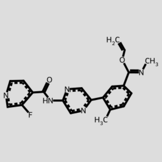 C=CO/C(=N\C)c1ccc(C)c(-c2cnc(NC(=O)c3ccncc3F)cn2)c1